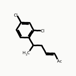 CC(=O)C=CCC(C)c1ccc(Cl)cc1Cl